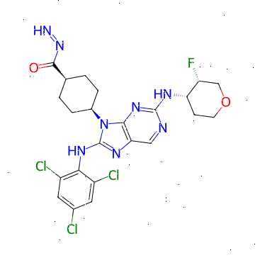 N=NC(=O)[C@H]1CC[C@@H](n2c(Nc3c(Cl)cc(Cl)cc3Cl)nc3cnc(N[C@H]4CCOC[C@H]4F)nc32)CC1